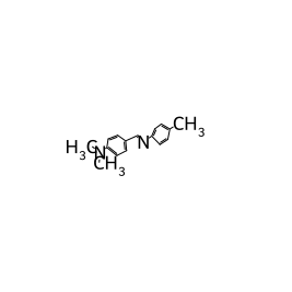 Cc1ccc(N=Cc2ccc(N(C)C)cc2)cc1